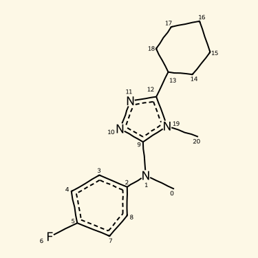 CN(c1ccc(F)cc1)c1nnc(C2CCCCC2)n1C